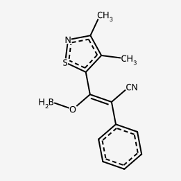 BOC(=C(C#N)c1ccccc1)c1snc(C)c1C